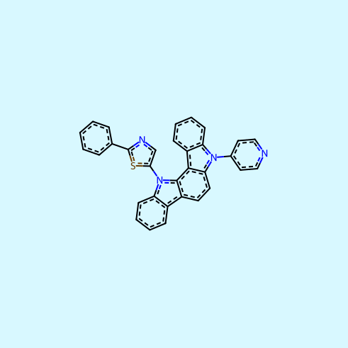 c1ccc(-c2ncc(-n3c4ccccc4c4ccc5c(c6ccccc6n5-c5ccncc5)c43)s2)cc1